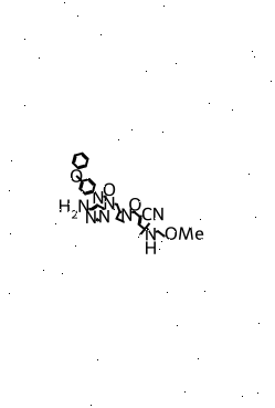 COCCNC(C)(C)C=C(C#N)C(=O)N1CCC1Cn1c(=O)n(-c2ccc(Oc3ccccc3)cc2)c2c(N)ncnc21